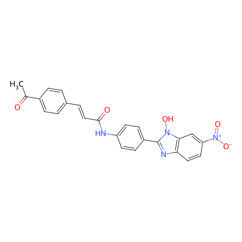 CC(=O)c1ccc(C=CC(=O)Nc2ccc(-c3nc4ccc([N+](=O)[O-])cc4n3O)cc2)cc1